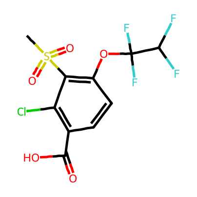 CS(=O)(=O)c1c(OC(F)(F)C(F)F)ccc(C(=O)O)c1Cl